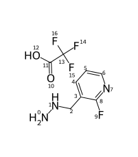 NNCc1cccnc1F.O=C(O)C(F)(F)F